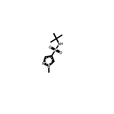 Cn1cc(S(=O)(=O)NC(C)(C)C)cn1